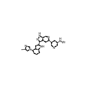 Cc1cn(-c2cccc3[nH]c(-c4n[nH]c5cnc(-c6cncc(NC(C)C)c6)cc45)cc23)cn1